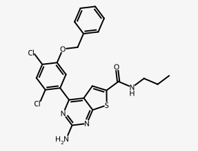 CCCNC(=O)c1cc2c(-c3cc(OCc4ccccc4)c(Cl)cc3Cl)nc(N)nc2s1